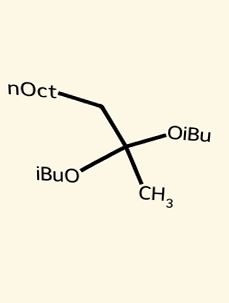 CCCCCCCCCC(C)(OCC(C)C)OCC(C)C